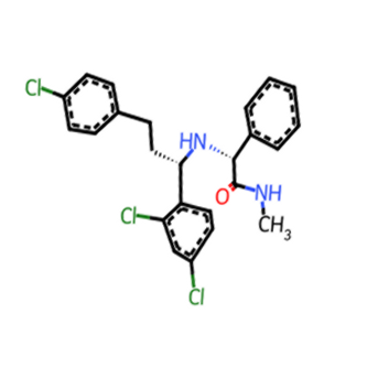 CNC(=O)[C@H](N[C@@H](CCc1ccc(Cl)cc1)c1ccc(Cl)cc1Cl)c1ccccc1